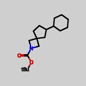 CC(C)(C)OC(=O)N1CC2(CCC(C3CCCCC3)C2)C1